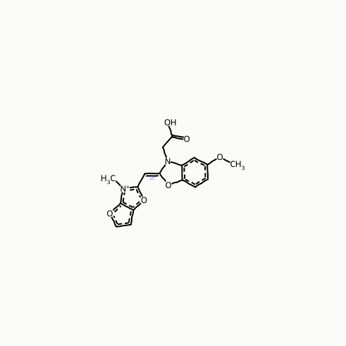 COc1ccc2c(c1)N(CC(=O)O)/C(=C/c1oc3ccoc3[n+]1C)O2